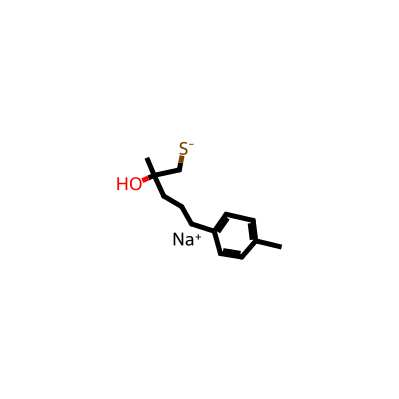 Cc1ccc(CCCC(C)(O)C[S-])cc1.[Na+]